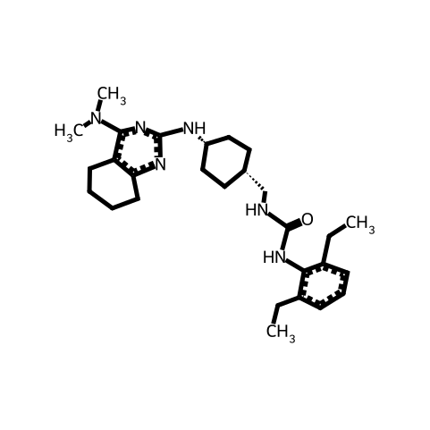 CCc1cccc(CC)c1NC(=O)NC[C@H]1CC[C@@H](Nc2nc3c(c(N(C)C)n2)CCCC3)CC1